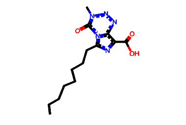 CCCCCCCCc1nc(C(=O)O)c2nnn(C)c(=O)n12